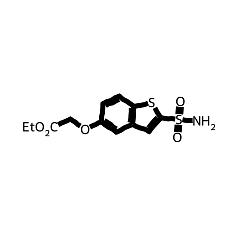 CCOC(=O)COc1ccc2sc(S(N)(=O)=O)cc2c1